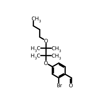 CCCCOC(C)(C)C(C)(C)Oc1ccc(C=O)c(Br)c1